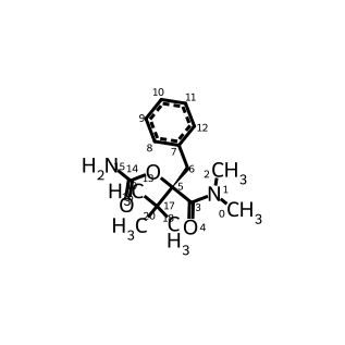 CN(C)C(=O)[C@@](Cc1ccccc1)(OC(N)=O)C(C)(C)C